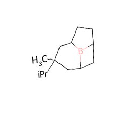 CC(C)C1(C)CC2CCC3CC(C1)B32